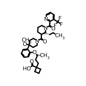 CCC[C@@H]1C(C(=O)N2CCC(OC)(c3ccccc3O[C@H](C)CCC3(C(=O)O)CCC3)CC2)CCCN1C(=O)c1ncccc1C(F)(F)F